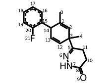 CC1=CC(C)(C2=NNC(=O)CC2)C=CC1c1ccccc1F